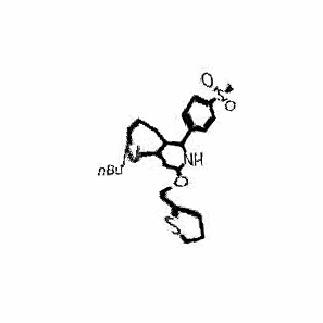 CCCCN1CCCC2C(c3ccc(S(C)(=O)=O)cc3)NC(OCC3CCCS3)CC21